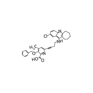 Cc1cc(C#CCCNc2c3c(nc4ccc(Cl)cc24)CCCCC3)nc(C(=O)O)c1OCc1ccccc1